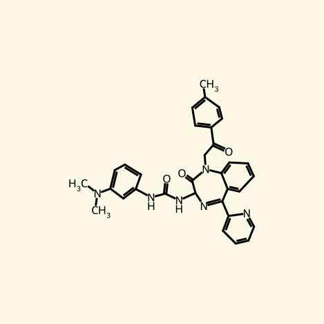 Cc1ccc(C(=O)CN2C(=O)C(NC(=O)Nc3cccc(N(C)C)c3)N=C(c3ccccn3)c3ccccc32)cc1